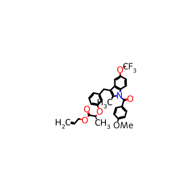 C=CCOC(=O)[C@H](C)Oc1cccc(Cc2c(C)n(C(=O)c3ccc(OC)cc3)c3ccc(OC(F)(F)F)cc23)c1